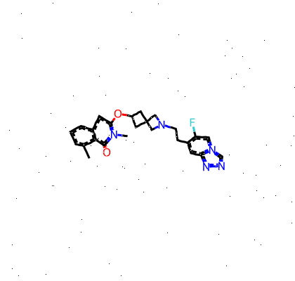 Cc1cccc2cc(OC3CC4(C3)CN(CCc3cc5nncn5cc3F)C4)n(C)c(=O)c12